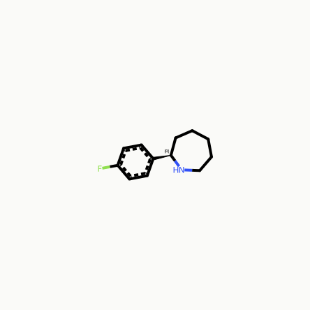 Fc1ccc([C@H]2CCCCCN2)cc1